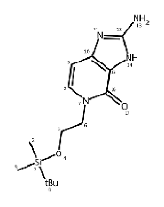 CC(C)(C)[Si](C)(C)OCCn1ccc2nc(N)[nH]c2c1=O